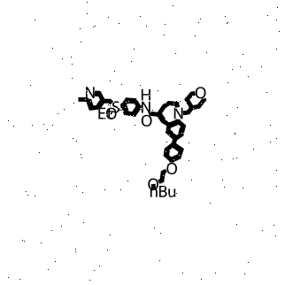 CCCCOCCOc1ccc(-c2ccc3c(c2)/C=C(/C(=O)Nc2ccc([S@+]([O-])Cc4cnc(C)cc4CC)cc2)CCCN3CC2CCOCC2)cc1